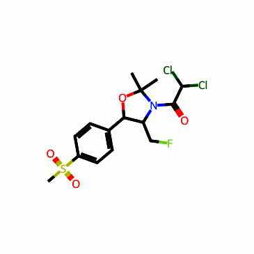 CC1(C)OC(c2ccc(S(C)(=O)=O)cc2)C(CF)N1C(=O)C(Cl)Cl